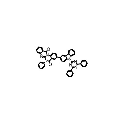 O=c1c2cc(-c3ccc4c(c3)c3ccccc3n4-c3nc(-c4ccccc4)nc(-c4ccccc4)n3)ccc2n2c(=O)c3ccccc3nc2n1-c1ccccc1